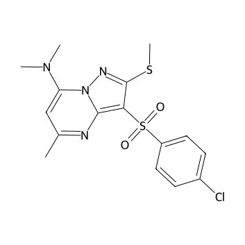 CSc1nn2c(N(C)C)cc(C)nc2c1S(=O)(=O)c1ccc(Cl)cc1